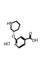 Cl.O=C(O)c1ccnc(O[C@H]2CCCNC2)c1